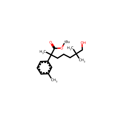 Cc1cccc(C(C)(CCCC(C)(C)CO)C(=O)OC(C)(C)C)c1